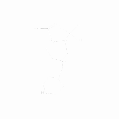 CC(C)(C)C1CN(CC2CCNCC2)CCN1C(=O)O